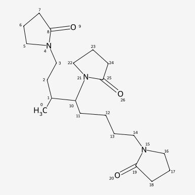 CC(CCN1CCCC1=O)C(CCCCN1CCCC1=O)N1CCCC1=O